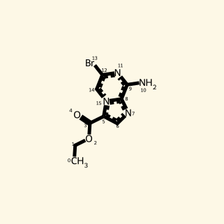 CCOC(=O)c1cnc2c(N)nc(Br)cn12